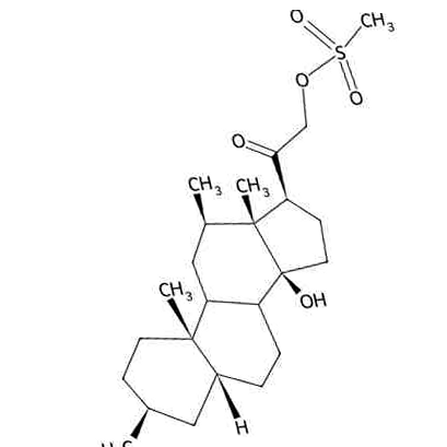 C[C@H]1CC[C@]2(C)C3C[C@@H](C)[C@]4(C)[C@@H](C(=O)COS(C)(=O)=O)CC[C@]4(O)C3CC[C@@H]2C1